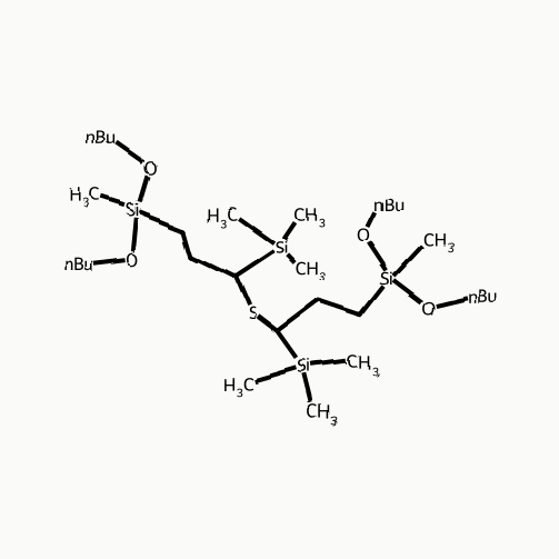 CCCCO[Si](C)(CCC(SC(CC[Si](C)(OCCCC)OCCCC)[Si](C)(C)C)[Si](C)(C)C)OCCCC